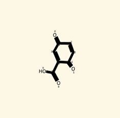 O=C1C=CC(=O)C(C(=O)O)=C1